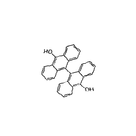 Oc1c2ccccc2c(-c2c3ccccc3c(O)c3ccccc23)c2ccccc12